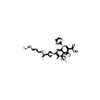 COCCCNC(=O)C1CN(C2=C(F)C(C)(C)C3C(=O)C(C(=O)O)=CN(c4nccs4)C3=N2)C1